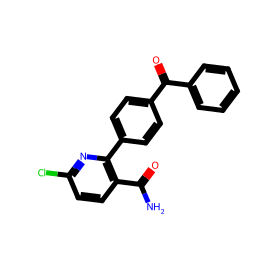 NC(=O)c1ccc(Cl)nc1-c1ccc(C(=O)c2ccccc2)cc1